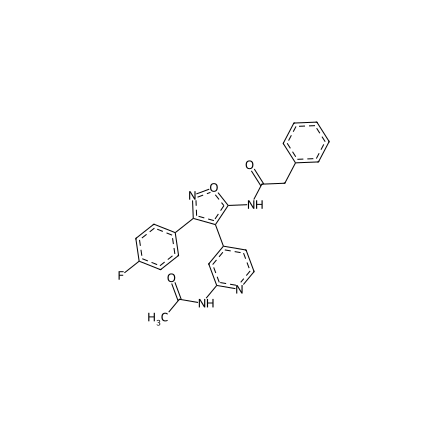 CC(=O)Nc1cc(-c2c(-c3ccc(F)cc3)noc2NC(=O)Cc2ccccc2)ccn1